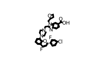 O=C(O)c1ccc2nc(CN3CCN(c4cccc5c4O[C@H](c4ccc(Cl)cc4F)C=C5F)CC3)n(CC3CCO3)c2c1